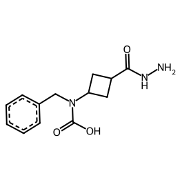 NNC(=O)C1CC(N(Cc2ccccc2)C(=O)O)C1